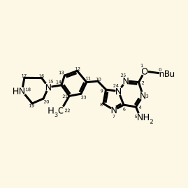 CCCCOc1nc(N)c2ncc(Cc3ccc(N4CCNCC4)c(C)c3)n2n1